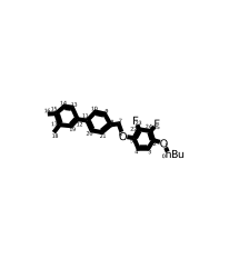 CCCCOc1ccc(OCc2ccc(-c3ccc(C)c(C)c3)cc2)c(F)c1F